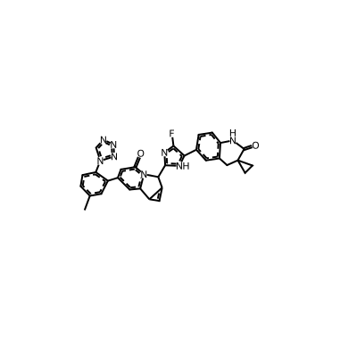 Cc1ccc(-n2cnnn2)c(-c2cc3n(c(=O)c2)C(c2nc(F)c(-c4ccc5c(c4)CC4(CC4)C(=O)N5)[nH]2)C2=CC23)c1